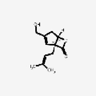 CC(C)=CC[C@@]12C=C(CO)C[C@@H]1OC2=O